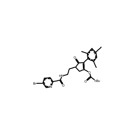 CCCCC(=O)OC1=C(c2c(C)cc(C)cc2C)C(=O)C(CCNC(=O)c2ccc(Br)cn2)C1